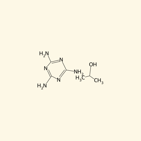 CC(C)O.Nc1nc(N)nc(N)n1